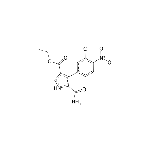 CCOC(=O)c1c[nH]c(C(N)=O)c1-c1ccc([N+](=O)[O-])c(Cl)c1